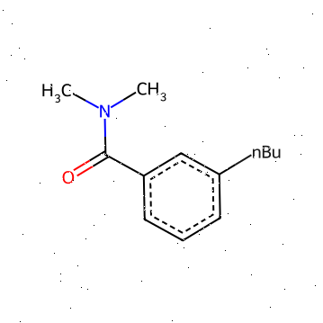 CCCCc1cccc(C(=O)N(C)C)c1